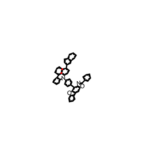 c1ccc(-c2nc3c(-c4ccc(N(c5ccc(-c6ccc7ccccc7c6)cc5)c5ccccc5-c5ccccc5)cc4)c4oc5ccccc5c4cc3o2)cc1